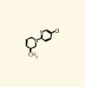 CC1C=CCN(c2ccc(Cl)cn2)C1